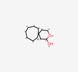 OC1CC2(CCCCCCC2)CCO1